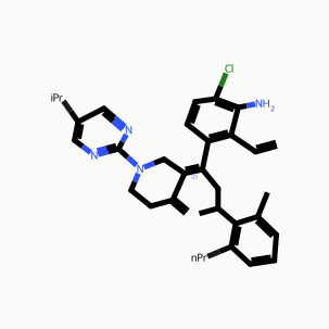 C=Cc1c(/C(CC(C)c2c(C)cccc2CCC)=C2\CN(c3ncc(C(C)C)cn3)CCC2=C)ccc(Cl)c1N